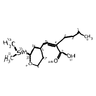 CCCCC(=CC1CCOC([SiH](C)C)C1)C(=O)O